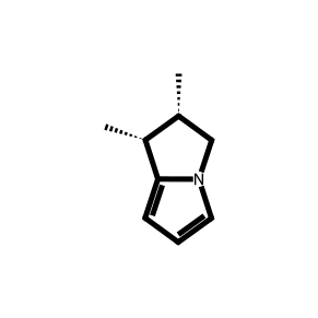 C[C@@H]1Cn2cccc2[C@@H]1C